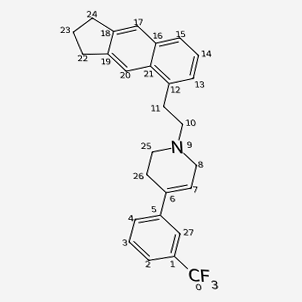 FC(F)(F)c1cccc(C2=CCN(CCc3cccc4cc5c(cc34)CCC5)CC2)c1